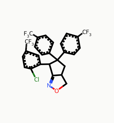 FC(F)(F)c1ccc(C2(c3ccc(C(F)(F)F)cc3)CC3CON=C3C2c2cc(C(F)(F)F)ccc2Cl)cc1